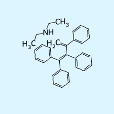 C=C(C(=C(c1ccccc1)c1ccccc1)c1ccccc1)c1ccccc1.CCNCC